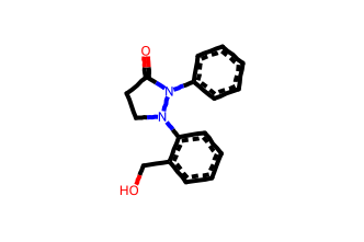 O=C1CCN(c2ccccc2CO)N1c1ccccc1